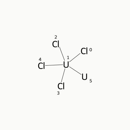 [Cl][U]([Cl])([Cl])([Cl])[U]